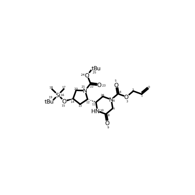 C=CCOC(=O)N1CC(=O)NC([C@@H]2C[C@@H](O[Si](C)(C)C(C)(C)C)CN2C(=O)OC(C)(C)C)C1